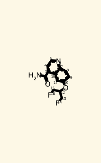 NC(=O)c1ccnc2ccc(OC(CF)CF)cc12